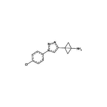 NC12CC1(c1cn(-c3ccc(Cl)cc3)nn1)C2